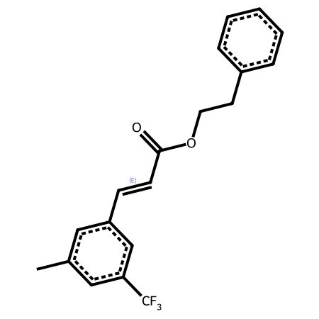 Cc1cc(/C=C/C(=O)OCCc2ccccc2)cc(C(F)(F)F)c1